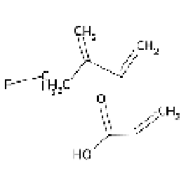 C=CC(=C)C.C=CC(=O)O.CF